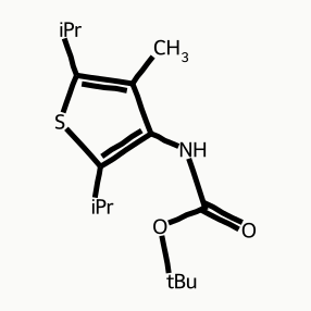 Cc1c(C(C)C)sc(C(C)C)c1NC(=O)OC(C)(C)C